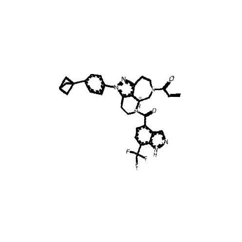 C=CC(=O)N1CCc2nn(-c3ccc(C45CC(C4)C5)cc3)c3c2[C@@H](C1)N(C(=O)c1ccc(C(F)(F)F)c2[nH]ncc12)CC3